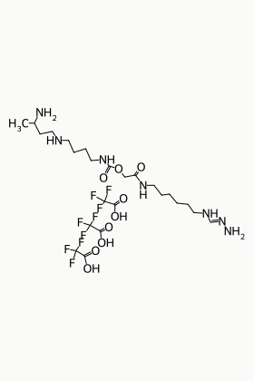 CC(N)CCNCCCCNC(=O)OCC(=O)NCCCCCCNC=NN.O=C(O)C(F)(F)F.O=C(O)C(F)(F)F.O=C(O)C(F)(F)F